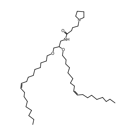 CCCCCCCC/C=C\CCCCCCCCOCC(CNC(=O)CCCN1CCCC1)OCCCCCCCC/C=C\CCCCCCCC